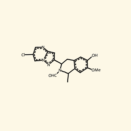 COc1cc2c(cc1O)CC(c1cc3ncc(Cl)cn3n1)N(C=O)C2C